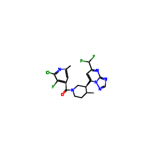 Cc1cc(C(=O)N2CCC(C)[C@H](c3cc(C(F)F)nc4ncnn34)C2)c(F)c(Cl)n1